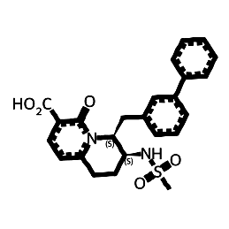 CS(=O)(=O)N[C@H]1CCc2ccc(C(=O)O)c(=O)n2[C@H]1Cc1cccc(-c2ccccc2)c1